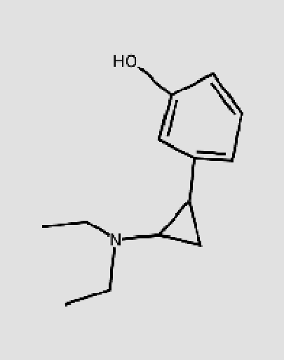 CCN(CC)C1CC1c1cccc(O)c1